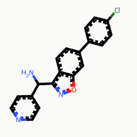 NC(c1ccncc1)c1noc2cc(-c3ccc(Cl)cc3)ccc12